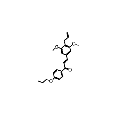 C=CCc1c(OC)cc(C=CC(=O)c2ccc(OCCC)cc2)cc1OC